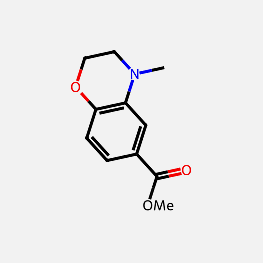 COC(=O)c1ccc2c(c1)N(C)CCO2